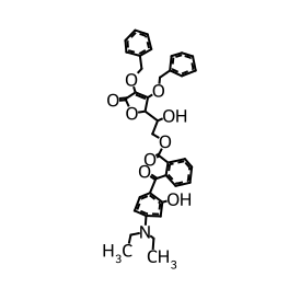 CCN(CC)c1ccc(C(=O)c2ccccc2C(=O)OCC(O)C2OC(=O)C(OCc3ccccc3)=C2OCc2ccccc2)c(O)c1